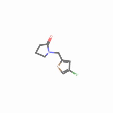 O=C1CCCN1Cc1cc(Br)cs1